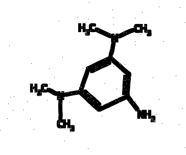 CN(C)c1cc(N)cc(N(C)C)c1